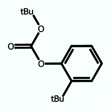 CC(C)(C)OC(=O)Oc1ccccc1C(C)(C)C